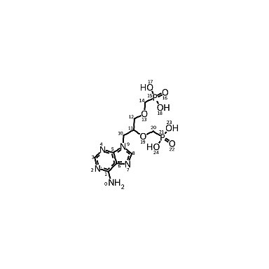 Nc1ncnc2c1ncn2CC(COCP(=O)(O)O)OCP(=O)(O)O